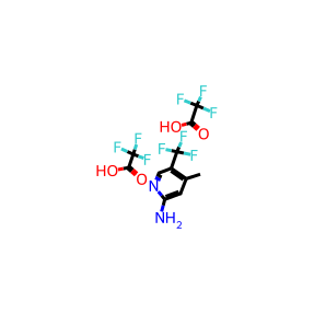 Cc1cc(N)ncc1C(F)(F)F.O=C(O)C(F)(F)F.O=C(O)C(F)(F)F